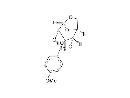 COc1ccc(B2OC3[C@@H]4OC[C@H](O4)[C@H](O2)[C@@H]3O)cc1